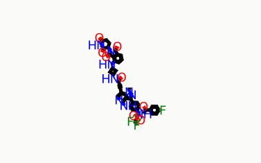 CC(Oc1cc(-c2nn(C)c3c(C#CC(=O)N[C@H]4C[C@H](Nc5cccc6c5C(=O)N(C5CCC(=O)NC5=O)C6=O)C4)cnc(N)c23)ccc1NS(=O)(=O)C(F)F)c1ccc(F)cc1